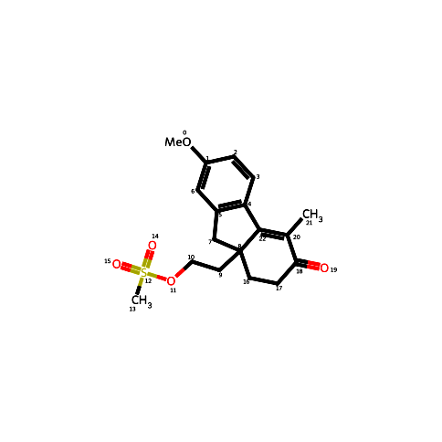 COc1ccc2c(c1)CC1(CCOS(C)(=O)=O)CCC(=O)C(C)=C21